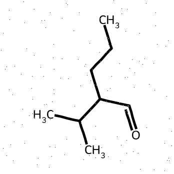 CCCC(C=O)C(C)C